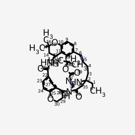 CCC12CC/C=C/c3ccc4c(c3)[C@H](CC(C)(C)O4)NC(=O)c3ccc4c(c3)[C@@H](CCO4)N(C(=O)C1)/C(=N/C(=O)OC(C)(C)C)N2